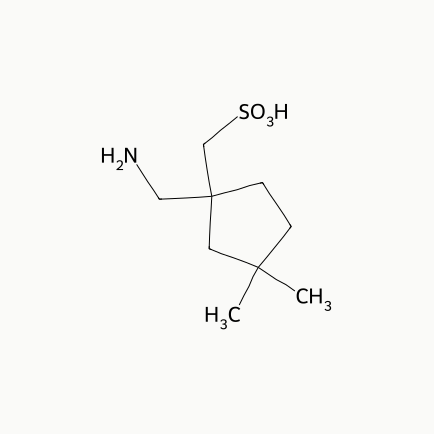 CC1(C)CCC(CN)(CS(=O)(=O)O)C1